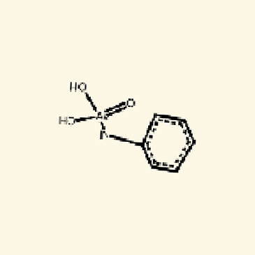 O=[As](O)(O)Nc1ccccc1